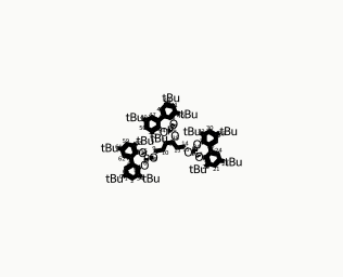 CC(C)(C)c1cc(C(C)(C)C)c2op(OCCCC(CCOp3oc4c(C(C)(C)C)cc(C(C)(C)C)cc4c4cc(C(C)(C)C)cc(C(C)(C)C)c4o3)Op3oc4c(C(C)(C)C)cc(C(C)(C)C)cc4c4cc(C(C)(C)C)cc(C(C)(C)C)c4o3)oc3c(C(C)(C)C)cc(C(C)(C)C)cc3c2c1